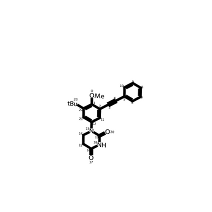 COc1c(C#Cc2ccccc2)cc(N2CCC(=O)NC2=O)cc1C(C)(C)C